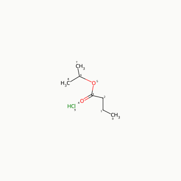 CCCC(=O)OC(C)C.Cl